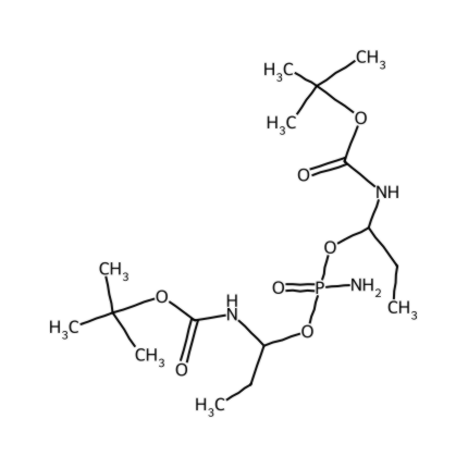 CCC(NC(=O)OC(C)(C)C)OP(N)(=O)OC(CC)NC(=O)OC(C)(C)C